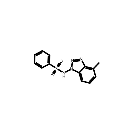 Cc1cccc2c1nnn2NS(=O)(=O)c1ccccc1